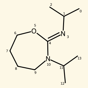 CC(C)/N=C1\OCCCCN1C(C)C